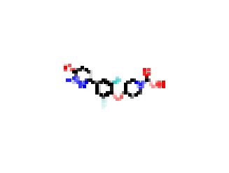 O=C1CCC(c2cc(F)c(OC3CCN(C(=O)O)CC3)c(F)c2)=NN1